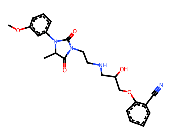 COc1cccc(N2C(=O)N(CCNCC(O)COc3ccccc3C#N)C(=O)C2C)c1